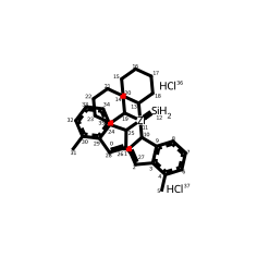 CC1=Cc2c(C)cccc2[CH]1[Zr](=[SiH2])([CH]1CCCCC1)([CH]1CCCCC1)[CH]1C(C)=Cc2c(C)cccc21.Cl.Cl